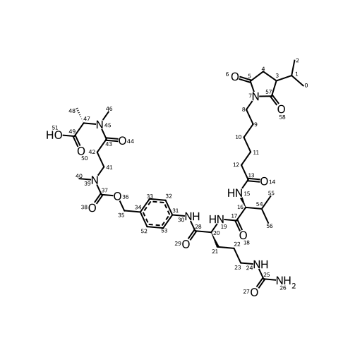 CC(C)C1CC(=O)N(CCCCCC(=O)N[C@H](C(=O)N[C@@H](CCCNC(N)=O)C(=O)Nc2ccc(COC(=O)N(C)CCC(=O)N(C)[C@@H](C)C(=O)O)cc2)C(C)C)C1=O